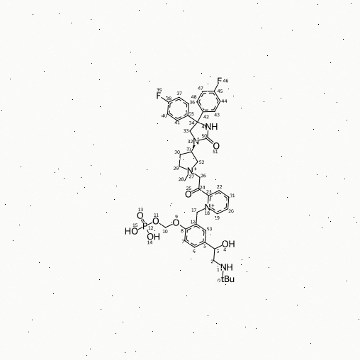 CC(C)(C)NCC(O)c1ccc(OCOP(=O)(O)O)c(C[n+]2ccccc2C(=O)C[N+]2(C)CC[C@@H](N3CC(c4ccc(F)cc4)(c4ccc(F)cc4)NC3=O)C2)c1